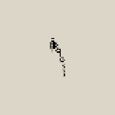 CCCCCCCC[C@H]1CC[C@H](CCc2ccc(-c3ccc(F)nc3F)cc2)CC1